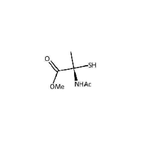 COC(=O)[C@](C)(S)NC(C)=O